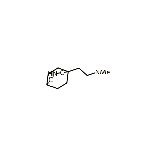 CNCCC12CCC(CC1)CNC2